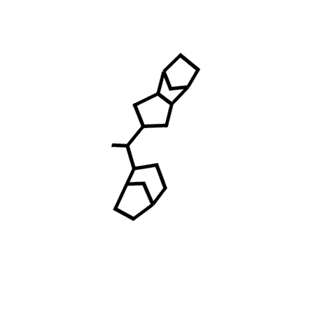 CC(C1CC2C3CCC(C3)C2C1)C1CCC2CCC1C2